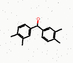 Cc1ccc(C([O])c2ccc(C)c(C)c2)cc1C